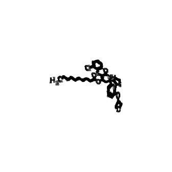 CCCCCCCCCC(=O)OC1=C(Sc2ccccc2Cl)C(=O)NC(c2ccsc2)(c2cccc(OC3COC3)n2)C1